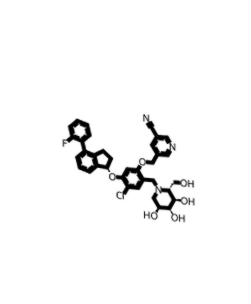 N#Cc1cncc(COc2cc(O[C@H]3CCc4c(-c5ccccc5F)cccc43)c(Cl)cc2CN2C[C@H](O)[C@@H](O)[C@H](O)[C@H]2CO)c1